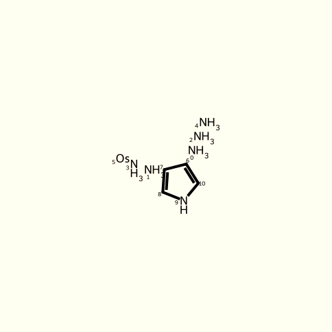 N.N.N.N.N.[Os].c1cc[nH]c1